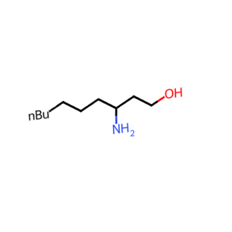 CCCCCCCC(N)CCO